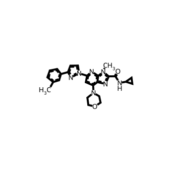 Cc1cccc(-c2ccn(-c3cc(N4CCOCC4)c4nc(C(=O)NC5CC5)n(C)c4n3)n2)c1